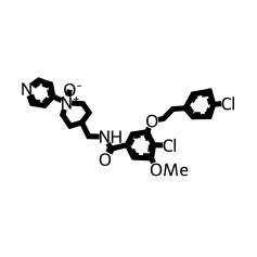 COc1cc(C(=O)NCC2CC[N+]([O-])(c3ccncc3)CC2)cc(OCCc2ccc(Cl)cc2)c1Cl